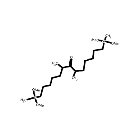 CO[Si](C)(CCCCCC(C)C(=O)C(C)CCCCC[Si](C)(OC)OC)OC